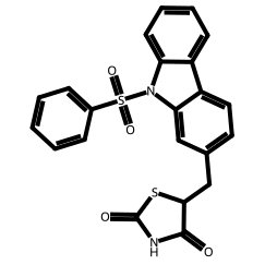 O=C1NC(=O)C(Cc2ccc3c4ccccc4n(S(=O)(=O)c4ccccc4)c3c2)S1